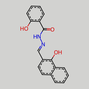 O=C(NN=Cc1ccc2ccccc2c1O)c1ccccc1O